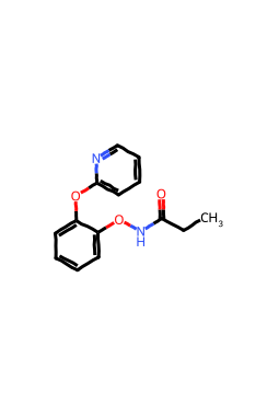 CCC(=O)NOc1ccccc1Oc1ccccn1